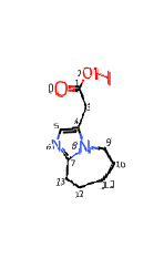 O=C(O)Cc1cnc2n1CCCCC2